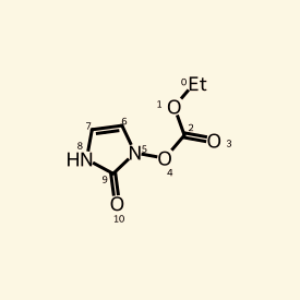 CCOC(=O)On1cc[nH]c1=O